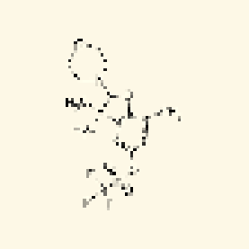 Cc1cc(OS(=O)(=O)C(F)(F)F)cc2c1OC(N1CCOCC1)C2(C)C